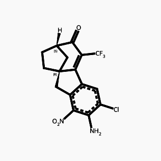 Nc1c(Cl)cc2c(c1[N+](=O)[O-])C[C@@]13CC[C@@H](C1)C(=O)C(C(F)(F)F)=C23